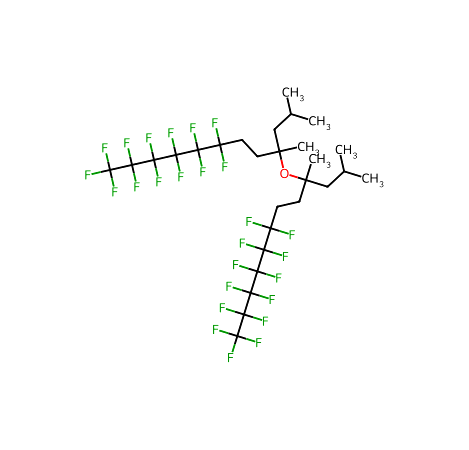 CC(C)CC(C)(CCC(F)(F)C(F)(F)C(F)(F)C(F)(F)C(F)(F)C(F)(F)F)OC(C)(CCC(F)(F)C(F)(F)C(F)(F)C(F)(F)C(F)(F)C(F)(F)F)CC(C)C